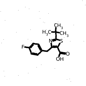 CC(C)(C)c1nc(Cc2ccc(F)cc2)c(C(=O)O)s1